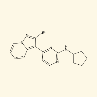 CC(C)c1nn2ccccc2c1-c1ccnc(NC2CCCC2)n1